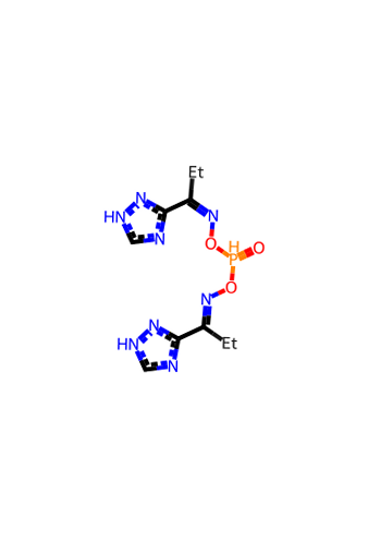 CCC(=NO[PH](=O)ON=C(CC)c1nc[nH]n1)c1nc[nH]n1